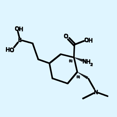 CN(C)C[C@@H]1CCC(CCB(O)O)C[C@@]1(N)C(=O)O